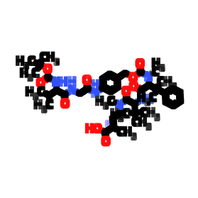 C/C(=C\CN(C)C(=O)C(NC(=O)C(N(C)C(=O)OCc1ccc(NC(=O)CNC(=O)C(NC(=O)OC(C)(C)C)C(C)C)cc1)C(C)(C)c1ccccc1)C(C)(C)C)C(=O)O